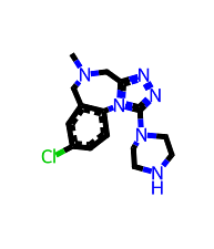 CN1Cc2cc(Cl)ccc2-n2c(nnc2N2CCNCC2)C1